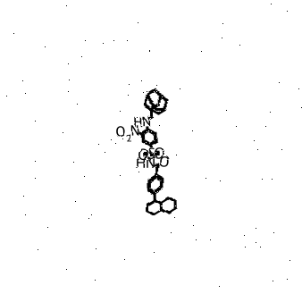 O=C(NS(=O)(=O)c1ccc(NCC23CC4CC(CC(C4)C2)C3)c([N+](=O)[O-])c1)c1ccc(C2=CCCC3CCCCC23)cc1